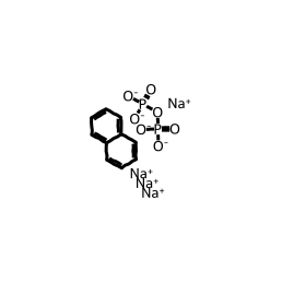 O=P([O-])([O-])OP(=O)([O-])[O-].[Na+].[Na+].[Na+].[Na+].c1ccc2ccccc2c1